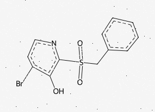 O=S(=O)(Cc1ccccc1)c1nccc(Br)c1O